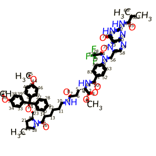 COC(=O)[C@H](CCC(=O)NCCCCCC(=O)N1C[C@H](C)C[C@H]1COC(c1ccccc1)(c1ccc(OC)cc1)c1ccc(OC)cc1)NC(=O)c1ccc(N(Cc2cnc3nc(NC(=O)C(C)C)[nH]c(=O)c3n2)C(=O)C(F)(F)F)cc1